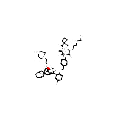 C[C@@H]1CNCCN1CCOc1cc(N2C3CCC2CN(c2cc(-c4cc(F)ccc4OCc4ccc(NC(=O)[C@H](CCCNC(N)=O)NC(=O)C5(C(=O)OC(=O)C(F)(F)F)CCC5)cc4)nnc2N)C3)ccn1